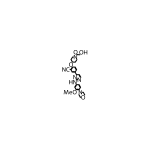 COc1cc(Nc2nccc(-c3ccc(OC4CCN(C(=O)CO)CC4)c(C#N)c3)n2)ccc1N1CCOCC1